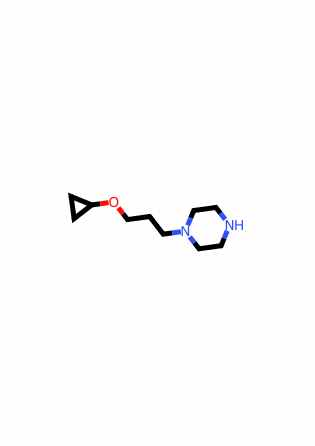 C(COC1CC1)CN1CCNCC1